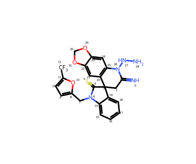 N=C1CC2(C(=S)N(Cc3ccc(C(F)(F)F)o3)c3ccccc32)c2cc3c(cc2N1NN)OCO3